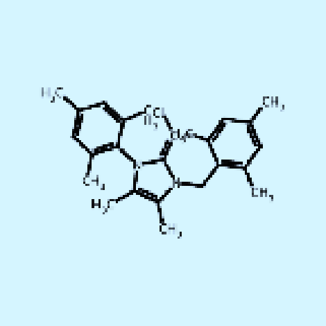 Cc1cc(C)c(Cn2c(C)c(C)n(-c3c(C)cc(C)cc3C)[c]2=[Cu-2][Cl])c(C)c1